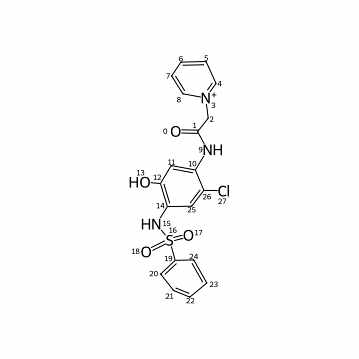 O=C(C[n+]1ccccc1)Nc1cc(O)c(NS(=O)(=O)c2ccccc2)cc1Cl